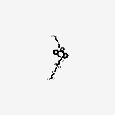 CC(C)OCCOCCn1nnc2c1-c1ccccc1CN(C(=O)CCC(=O)NCCOCCC(=O)C(C)C)c1ccccc1-2